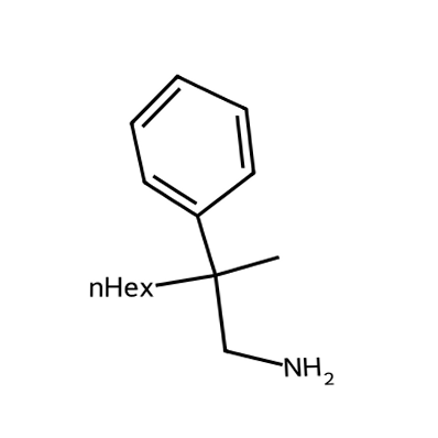 CCCCCCC(C)(CN)c1ccccc1